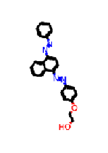 OCCOc1ccc(/N=N/c2ccc(/N=N/c3ccccc3)c3ccccc23)cc1